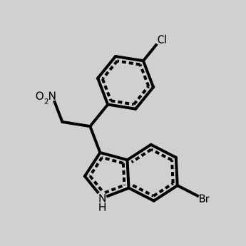 O=[N+]([O-])CC(c1ccc(Cl)cc1)c1c[nH]c2cc(Br)ccc12